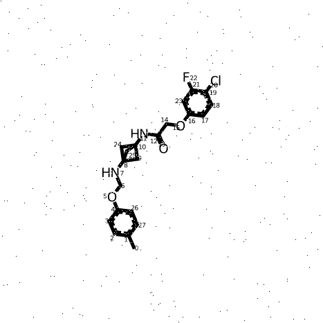 Cc1ccc(OCNC23CC(NC(=O)COc4ccc(Cl)c(F)c4)(C2)C3)cc1